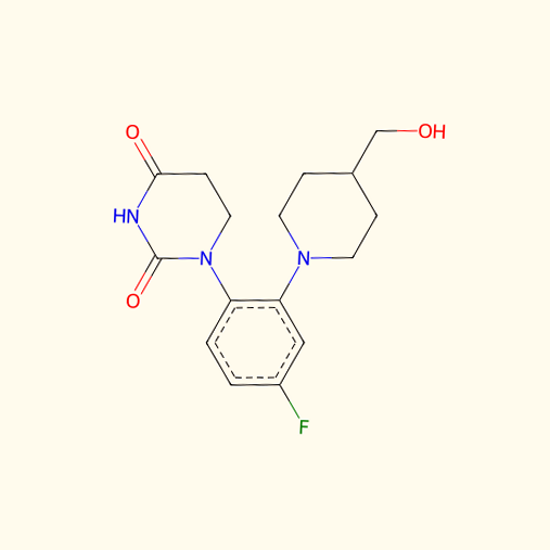 O=C1CCN(c2ccc(F)cc2N2CCC(CO)CC2)C(=O)N1